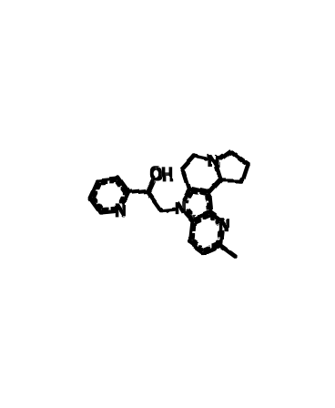 Cc1ccc2c(n1)c1c(n2CC(O)c2ccccn2)CCN2CCCC12